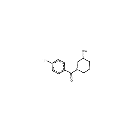 CC(C)(C)C1CCCN(C(=O)c2ccc(C(F)(F)F)cc2)C1